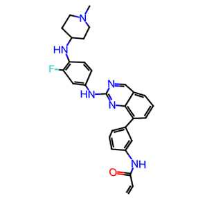 C=CC(=O)Nc1cccc(-c2cccc3cnc(Nc4ccc(NC5CCN(C)CC5)c(F)c4)nc23)c1